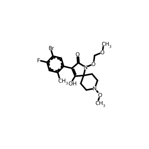 COCON1C(=O)C(c2cc(Br)c(F)cc2C)=C(O)C12CCN(OC)CC2